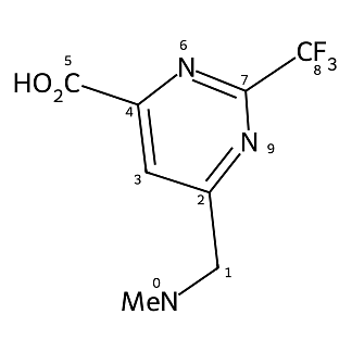 CNCc1cc(C(=O)O)nc(C(F)(F)F)n1